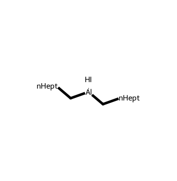 CCCCCCC[CH2][Al][CH2]CCCCCCC.I